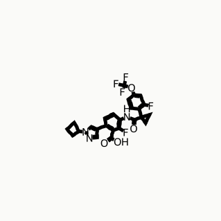 O=C(O)c1c(-c2cnn(C3CCC3)c2)ccc(NC(=O)C2(c3ccc(OC(F)(F)F)cc3F)CC2)c1F